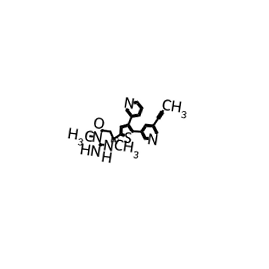 CC#Cc1cncc(-c2sc([C@]3(C)CC(=O)N(C)C(=N)N3)cc2-c2cccnc2)c1